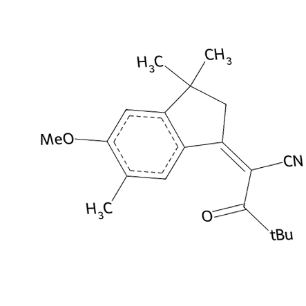 COc1cc2c(cc1C)C(=C(C#N)C(=O)C(C)(C)C)CC2(C)C